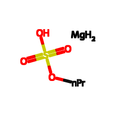 CCCOS(=O)(=O)O.[MgH2]